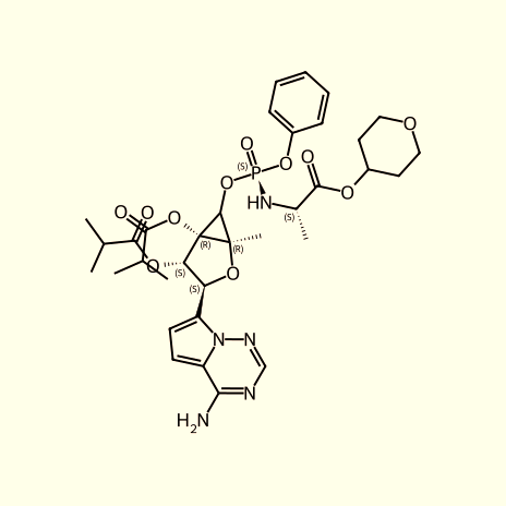 CC(C)C(=O)O[C@H]1[C@H](c2ccc3c(N)ncnn23)O[C@]2(C)C(O[P@@](=O)(N[C@@H](C)C(=O)OC3CCOCC3)Oc3ccccc3)[C@]12OC(=O)C(C)C